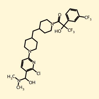 CN(C)C(O)c1ccc(N2CCC(CC3CCN(C(=O)C(O)(c4cccc(C(F)(F)F)c4)C(F)(F)F)CC3)CC2)nc1Cl